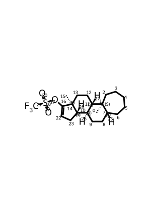 C[C@]12CCCCC[C@@H]1CC[C@@H]1[C@@H]2CC[C@]2(C)C(OS(=O)(=O)C(F)(F)F)=CC[C@@H]12